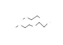 CC(C)(C)OCCO.CCCOCCOCCO